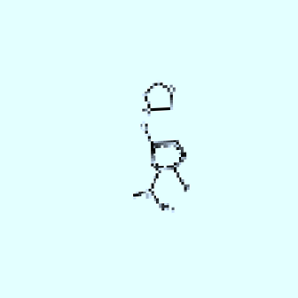 C[C@H](N)c1cc(O[C@@H]2CCOC2)ccc1F